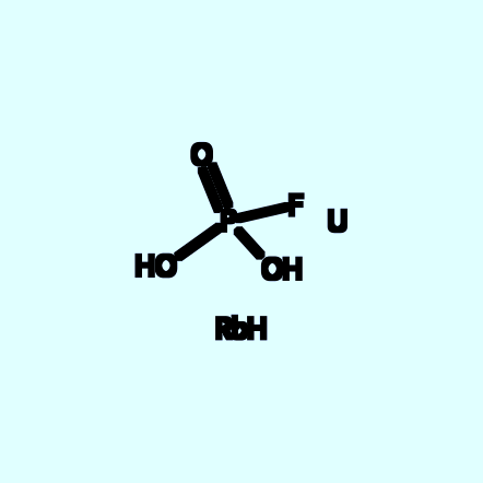 O=P(O)(O)F.[RbH].[U]